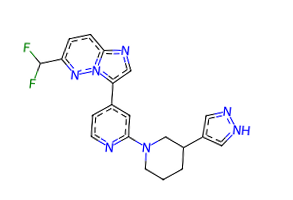 FC(F)c1ccc2ncc(-c3ccnc(N4CCCC(c5cn[nH]c5)C4)c3)n2n1